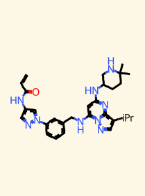 C=CC(=O)Nc1cnn(-c2cccc(CNc3cc(NC4CCC(C)(C)NC4)nc4c(C(C)C)cnn34)c2)c1